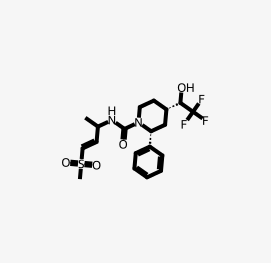 CC(/C=C/S(C)(=O)=O)NC(=O)N1CC[C@H](C(O)C(F)(F)F)C[C@@H]1c1ccccc1